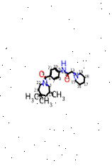 CC1CN(C(=O)c2ccc(NC(=O)CN3CCCCC3)cc2)CCC(C)(C)C1